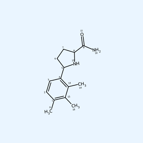 Cc1ccc(C2CCC(C(N)=O)N2)c(C)c1C